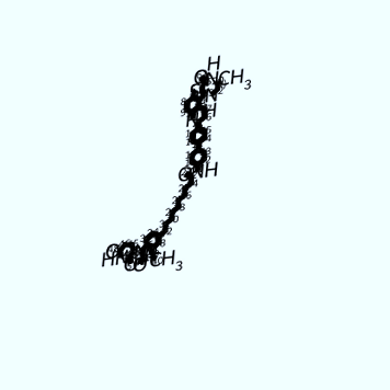 C[C@@H]1CNc2c(sc3ccc4nc(-c5ccc(C6CCC(NC(=O)CCCCCCCCCc7ccc8c(c7)n(C)c(=O)n8C7CCC(=O)NC7=O)CC6)cc5)ccc4c23)C(=O)N1